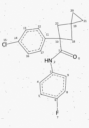 O=C(Nc1ccc(F)cc1)C1(c2ccc(Cl)cc2)CC2(CC2)C1